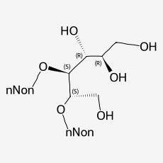 CCCCCCCCCO[C@@H]([C@H](O)[C@H](O)CO)[C@H](CO)OCCCCCCCCC